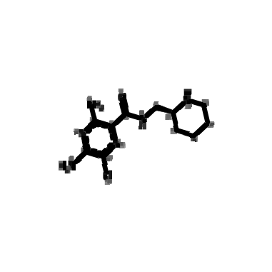 Nc1nc(N)c(C(=O)NC[C@@H]2CCCCN2)nc1Cl